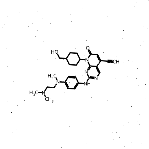 C#Cc1cc(=O)n(C2CCC(CO)CC2)c2nc(Nc3ccc(N(C)CCN(C)C)cc3)ncc12